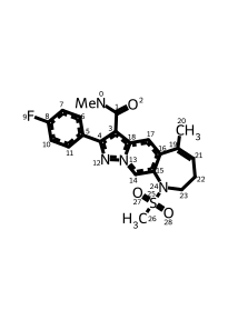 CNC(=O)c1c(-c2ccc(F)cc2)nn2cc3c(cc12)C(C)=CCCN3S(C)(=O)=O